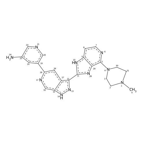 CN1CCN(c2nccc3[nH]c(-c4n[nH]c5cnc(-c6cncc(N)c6)cc45)nc23)CC1